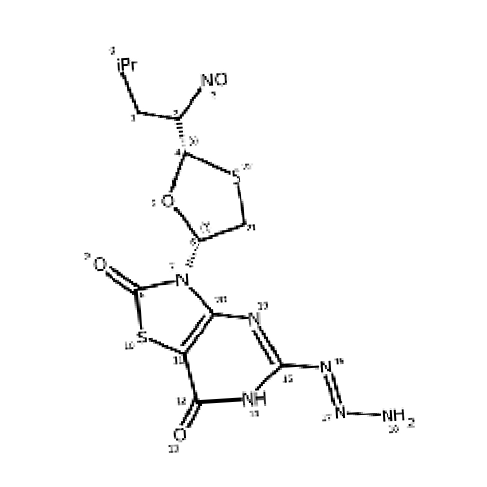 CC(C)CC(N=O)[C@H]1O[C@@H](n2c(=O)sc3c(=O)[nH]c(N=NN)nc32)CS1